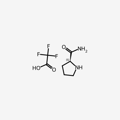 NC(=O)[C@@H]1CCCN1.O=C(O)C(F)(F)F